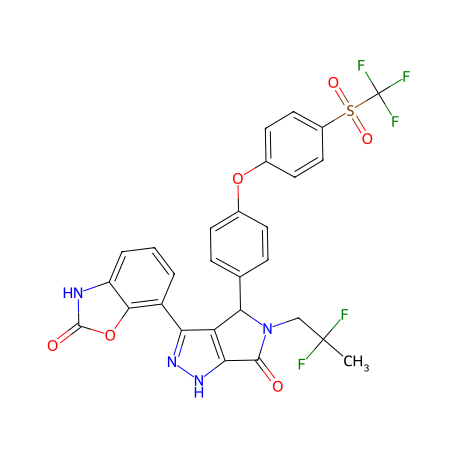 CC(F)(F)CN1C(=O)c2[nH]nc(-c3cccc4[nH]c(=O)oc34)c2C1c1ccc(Oc2ccc(S(=O)(=O)C(F)(F)F)cc2)cc1